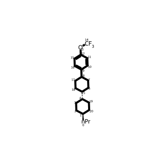 CCC[C@H]1CC[C@H](C2CCC(c3ccc(OC(F)(F)F)cc3)CC2)CC1